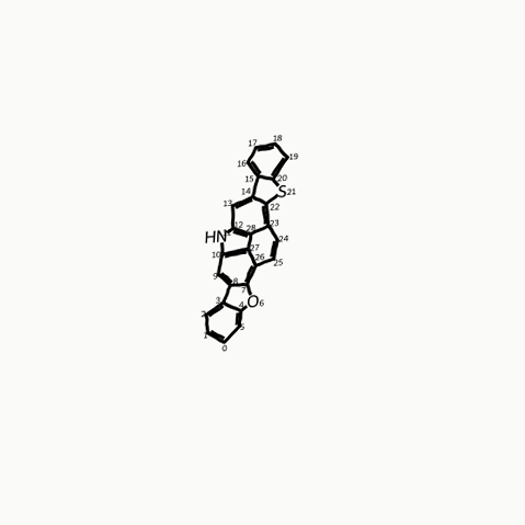 c1ccc2c(c1)oc1c2cc2[nH]c3cc4c5ccccc5sc4c4ccc1c2c34